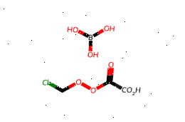 O=C(O)C(=O)OOCCl.OB(O)O